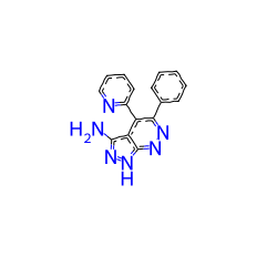 Nc1n[nH]c2nnc(-c3ccccc3)c(-c3ccccn3)c12